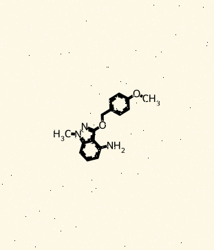 COc1ccc(COc2nn(C)c3cccc(N)c23)cc1